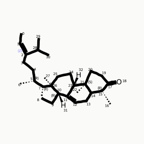 C/C=C(/CC[C@@H](C)[C@H]1CC[C@H]2C3=CCC4[C@@H](C)C(=O)CC[C@]4(C)[C@H]3CC[C@]12C)C(C)C